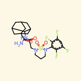 NC(=O)C12CC3CC(C1)C(NC(=O)CN1CCCN(c4c(F)c(F)cc(F)c4F)S1(=O)=O)C(C3)C2